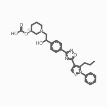 CCCc1c(-c2nc(-c3ccc(C(O)CN4CCC[C@H](OC(=O)O)C4)cc3)no2)cnn1-c1ccccc1